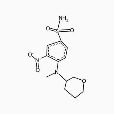 CN(c1ccc(S(N)(=O)=O)cc1[N+](=O)[O-])C1CCCOC1